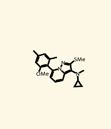 COc1cc(C)cc(C)c1-c1cccc2c(N(C)C3CC3)c(SC)nn12